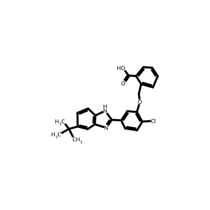 CC(C)(C)c1ccc2[nH]c(-c3ccc(Cl)c(OCc4ccccc4C(=O)O)c3)nc2c1